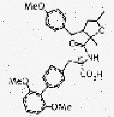 COc1ccc(CC2CC(C)OC2(C)C(=O)N[C@@H](Cc2ccc(-c3c(OC)cccc3OC)cc2)C(=O)O)cc1